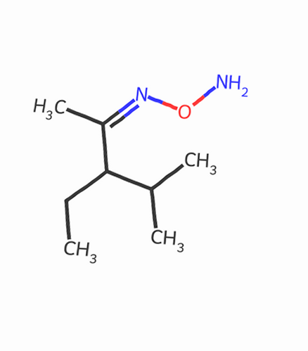 CCC(/C(C)=N\ON)C(C)C